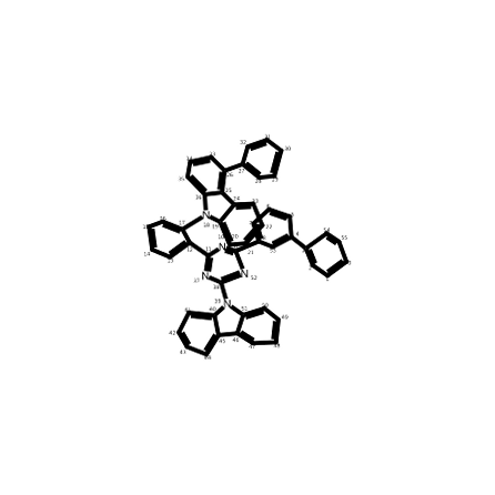 c1ccc(-c2cccc(-c3nc(-c4ccccc4-n4c5ccccc5c5c(-c6ccccc6)cccc54)nc(-n4c5ccccc5c5ccccc54)n3)c2)cc1